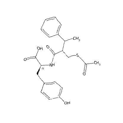 CC(=O)SCC(C(=O)N[C@@H](Cc1ccc(O)cc1)C(=O)O)C(C)c1ccccc1